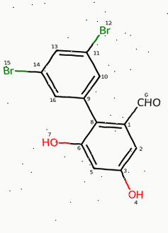 O=Cc1cc(O)cc(O)c1-c1cc(Br)cc(Br)c1